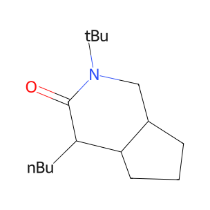 CCCCC1C(=O)N(C(C)(C)C)CC2CCCC21